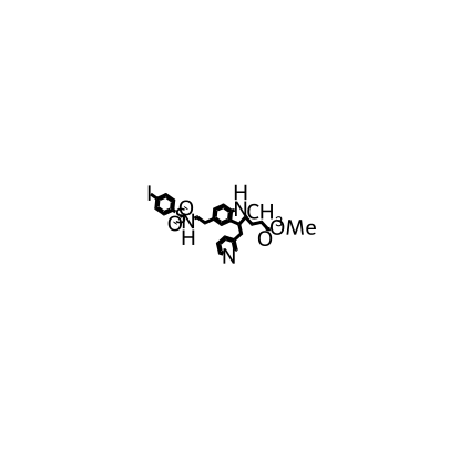 COC(=O)CCC1(C)Nc2ccc(CCNS(=O)(=O)c3ccc(I)cc3)cc2C1Cc1cccnc1